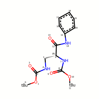 CC(C)(C)OC(=O)NC[C@@H](NC(=O)OC(C)(C)C)C(=O)Nc1ccccc1